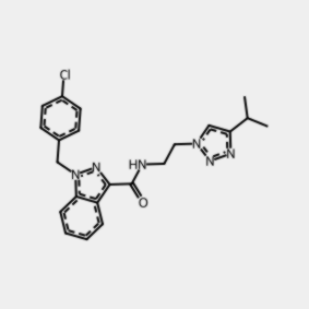 CC(C)c1cn(CCNC(=O)c2nn(Cc3ccc(Cl)cc3)c3ccccc23)nn1